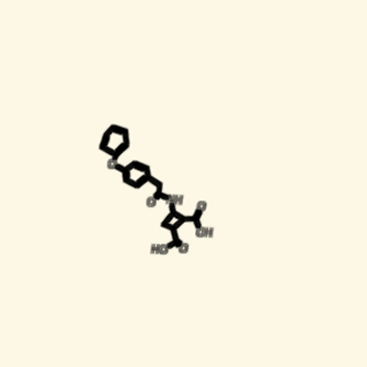 O=C(Cc1ccc(Oc2ccccc2)cc1)NC1CC(C(=O)O)C1C(=O)O